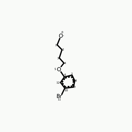 [O]CCCCOc1cccc(Br)c1